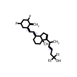 C=C1/C(=C\C=C2/CCCC3(C)C(C(C)/C=C/CC(O)(CC)CC)=CCC23)CC(F)CC1F